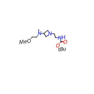 COCCN(C)C1CN(CCNC(=O)OC(C)(C)C)C1